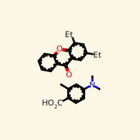 CCc1cc(CC)c2oc3ccccc3c(=O)c2c1.Cc1cc(N(C)C)ccc1C(=O)O